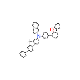 CC1(C)c2cc(-c3ccccc3)ccc2-c2ccc(N(c3ccc(-c4cccc5c4oc4ccccc45)cc3)c3ccc4ccccc4c3)cc21